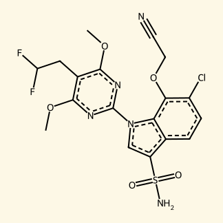 COc1nc(-n2cc(S(N)(=O)=O)c3ccc(Cl)c(OCC#N)c32)nc(OC)c1CC(F)F